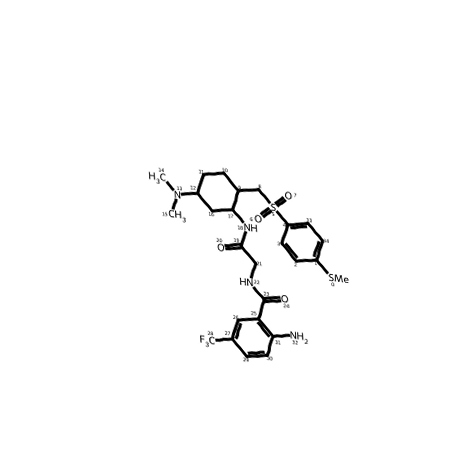 CSc1ccc(S(=O)(=O)CC2CCC(N(C)C)CC2NC(=O)CNC(=O)c2cc(C(F)(F)F)ccc2N)cc1